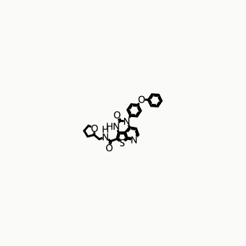 O=C(NCC1CCCO1)c1sc2nccc3c2c1NC(=O)N3c1ccc(Oc2ccccc2)cc1